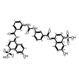 O=C(Nc1cccc(C(=O)N=C2C=CC(S(=O)(=O)O)c3cc(O)ccc32)c1)Nc1cccc(C(=O)N=C2C=CC(S(=O)(=O)O)c3cc(O)ccc32)c1